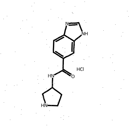 Cl.O=C(NC1CCNC1)c1ccc2nc[nH]c2c1